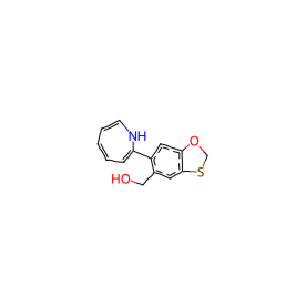 OCc1cc2c(cc1C1=CC=CC=CN1)OCS2